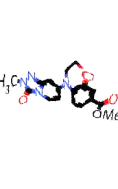 COC(=O)c1ccc2c(c1)OCCN2c1ccn2c(=O)n(C)nc2c1